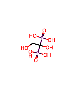 O=P(O)(O)C(O)(CO)P(=O)(O)O